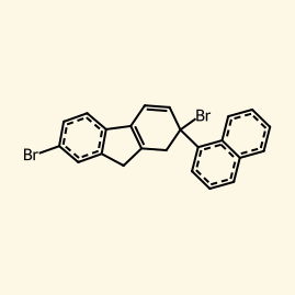 Brc1ccc2c(c1)CC1=C2C=CC(Br)(c2cccc3ccccc23)C1